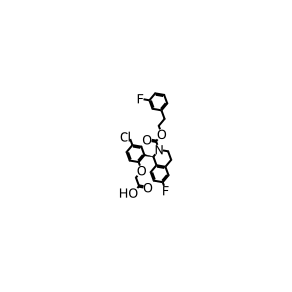 O=C(O)COc1ccc(Cl)cc1[C@@H]1c2ccc(F)cc2CCN1C(=O)OCCc1cccc(F)c1